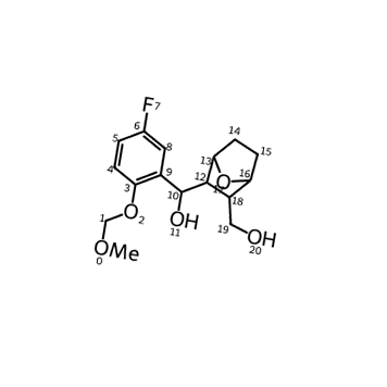 COCOc1ccc(F)cc1C(O)C1C2CCC(O2)C1CO